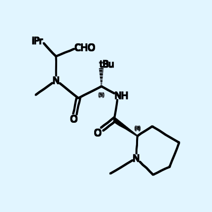 CC(C)C(C=O)N(C)C(=O)[C@@H](NC(=O)[C@H]1CCCCN1C)C(C)(C)C